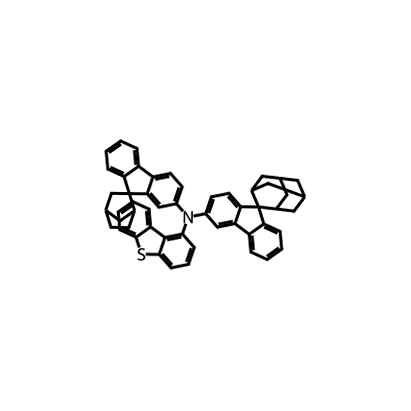 c1ccc2c(c1)-c1ccc(N(c3ccc4c(c3)-c3ccccc3C43C4CC5CC(C4)CC3C5)c3cccc4sc5ccccc5c34)cc1C21CC2CCC1C2